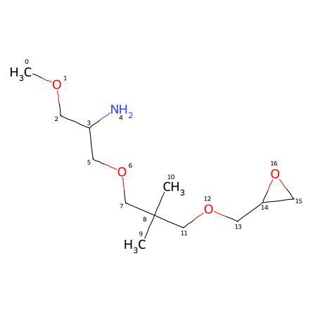 COCC(N)COCC(C)(C)COCC1CO1